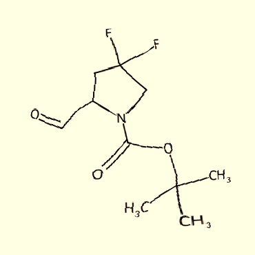 CC(C)(C)OC(=O)N1CC(F)(F)CC1C=O